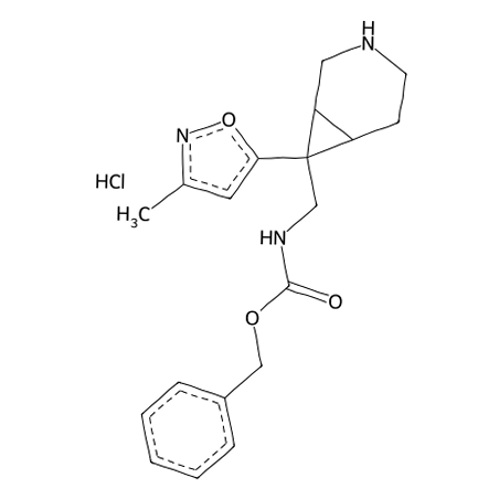 Cc1cc(C2(CNC(=O)OCc3ccccc3)C3CCNCC32)on1.Cl